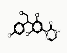 O=C1NCC=NN1c1cc(Cl)c(C(CCl)c2ccc(Cl)cc2)c(Cl)c1